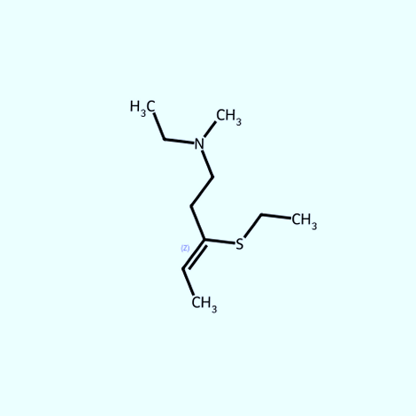 C/C=C(/CCN(C)CC)SCC